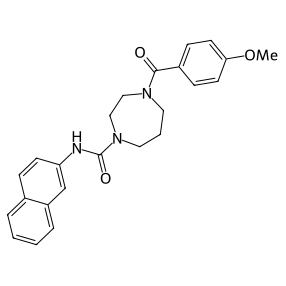 COc1ccc(C(=O)N2CCCN(C(=O)Nc3ccc4ccccc4c3)CC2)cc1